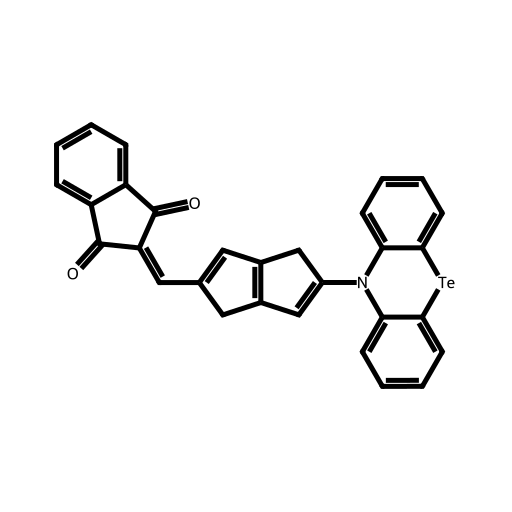 O=C1C(=CC2=CC3=C(C=C(N4c5ccccc5[Te]c5ccccc54)C3)C2)C(=O)c2ccccc21